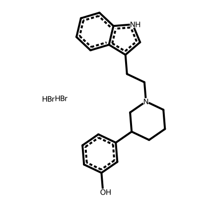 Br.Br.Oc1cccc(C2CCCN(CCc3c[nH]c4ccccc34)C2)c1